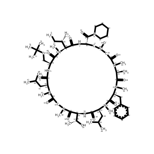 CC[C@H](C)[C@H]1C(=O)N[C@H](C(=O)N2CCCCC2)C[S+]([O-])CC(=O)N(C)[C@@H](C)C(=O)N(C)[C@@H](Cc2ccccc2)C(=O)N(C)[C@@H](CC(C)C)C(=O)N[C@@H]([C@@H](C)O)C(=O)N(C)CC(=O)N(C)[C@@H](CC(C)C)C(=O)N[C@@H](COC(C)(C)C)C(=O)N1C